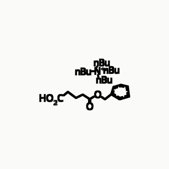 CCCC[N+](CCCC)(CCCC)CCCC.O=C(O)CCCC(=O)OCc1ccccc1